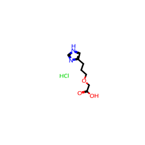 Cl.O=C(O)COCCCc1c[nH]cn1